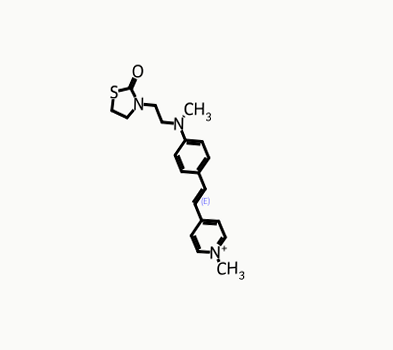 CN(CCN1CCSC1=O)c1ccc(/C=C/c2cc[n+](C)cc2)cc1